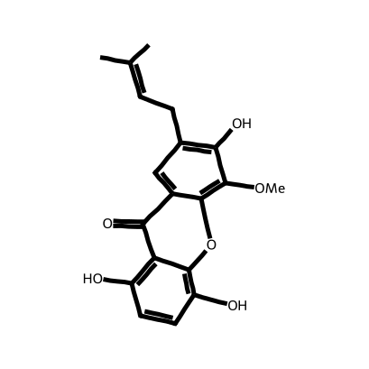 COc1c(O)c(CC=C(C)C)cc2c(=O)c3c(O)ccc(O)c3oc12